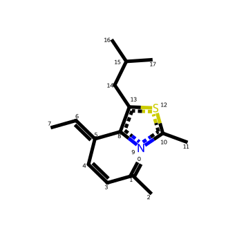 C=C(C)/C=C\C(=C/C)c1nc(C)sc1CC(C)C